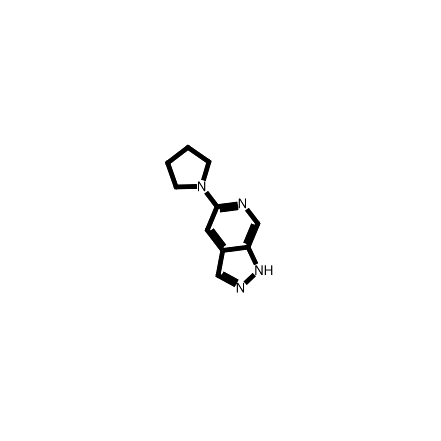 c1n[nH]c2cnc(N3CCCC3)cc12